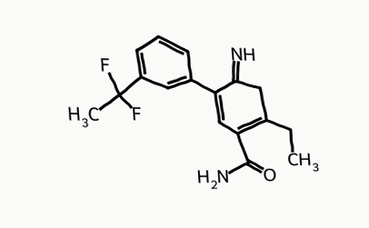 CCC1=C(C(N)=O)C=C(c2cccc(C(C)(F)F)c2)C(=N)C1